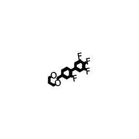 Fc1cc(C2OCCCO2)ccc1-c1cc(F)c(F)c(F)c1